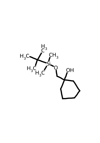 CC(C)(C)[Si](C)(C)OCC1(O)CCCCC1